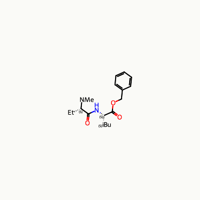 CC[C@H](NC)C(=O)N[C@H](C(=O)OCc1ccccc1)[C@@H](C)CC